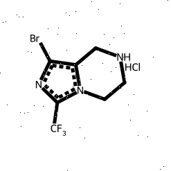 Cl.FC(F)(F)c1nc(Br)c2n1CCNC2